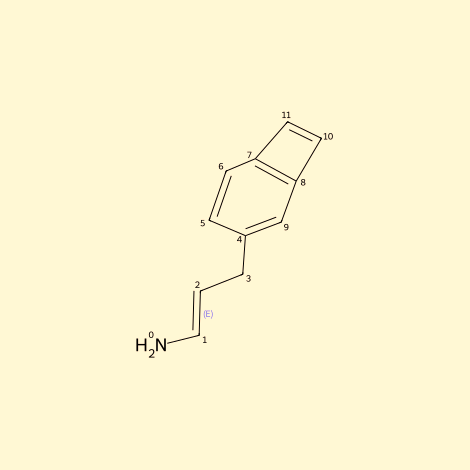 N/C=C/Cc1ccc2c(c1)C=C2